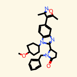 COC1CCC(n2c(C3CCC(=O)N3Cc3ccccc3)nc3cc(-c4c(C)noc4C)ccc32)CC1